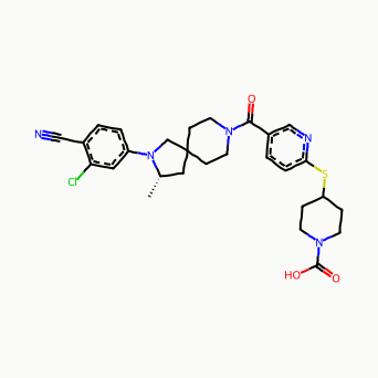 C[C@H]1CC2(CCN(C(=O)c3ccc(SC4CCN(C(=O)O)CC4)nc3)CC2)CN1c1ccc(C#N)c(Cl)c1